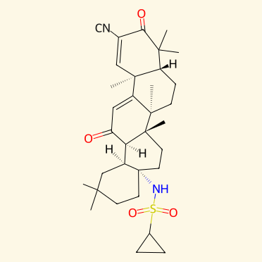 [C-]#[N+]C1=C[C@]2(C)C3=CC(=O)[C@@H]4[C@@H]5CC(C)(C)CC[C@]5(NS(=O)(=O)C5CC5)CC[C@@]4(C)[C@]3(C)CC[C@H]2C(C)(C)C1=O